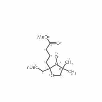 CCCCCCCCCCCC1(CCCC(=O)OC)OCC(C)(C)N1[O]